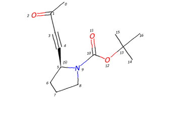 CC(=O)C#C[C@@H]1CCCN1C(=O)OC(C)(C)C